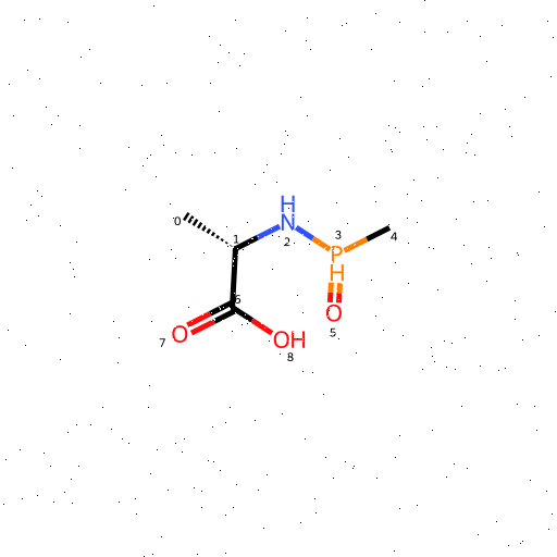 C[C@H](N[PH](C)=O)C(=O)O